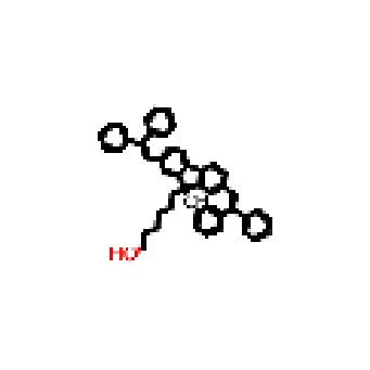 CC1(CCCCCCO)c2cc(C=C(c3ccccc3)c3ccccc3)ccc2-c2ccc(C=C(c3ccccc3)c3ccccc3)cc21